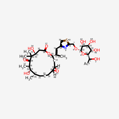 CC(=O)C(O)[C@H]1O[C@H](OCc2nc(C=C(C)[C@@H]3C[C@@H]4O[C@@H]4CCC[C@H](C)[C@H](O)[C@@H](C)C(=O)C(C)(C)[C@@H](O)CC(=O)O3)cs2)[C@H](O)[C@@H](O)[C@@H]1O